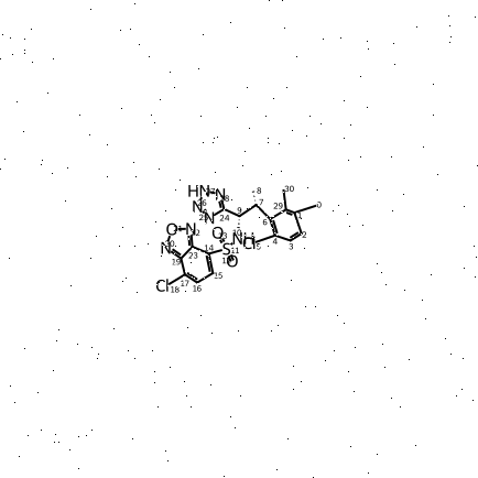 Cc1ccc(Cl)c([C@@H](C)[C@H](NS(=O)(=O)c2ccc(Cl)c3nonc23)c2nn[nH]n2)c1C